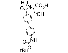 CN(C(=O)c1ccc(-c2ccc(NC(=O)OC(C)(C)C)cc2)cc1)[C@@H](CO)C(=O)O